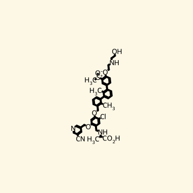 Cc1c(COc2cc(OCc3cncc(C#N)c3)c(CNC(C)C(=O)O)cc2Cl)cccc1-c1cccc(-c2ccc(OCCNCCO)c([S+](C)[O-])c2)c1C